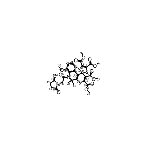 COC(=O)C1=C(C(=O)OC)SC2(S1)C(C(=O)OC)=C(C(=O)OC)SC1=C2c2nccc(OC)c2N(C(=O)CN2C(=O)CCC2=O)C1(C)C